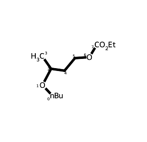 CCCCOC(C)CCOC(=O)OCC